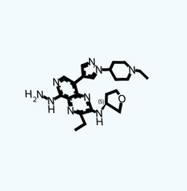 CCc1nc2c(NN)ncc(-c3cnn(C4CCN(CC)CC4)c3)c2nc1N[C@H]1CCOC1